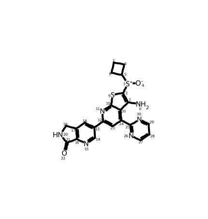 Nc1c([S+]([O-])C2CCC2)sc2nc(-c3cnc4c(c3)CNC4=O)cc(-c3ncccn3)c12